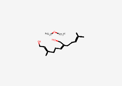 CC(C)=CCCC(=CCCC(C)=CCO)CO.O=S(=O)(O)OS(=O)(=O)O